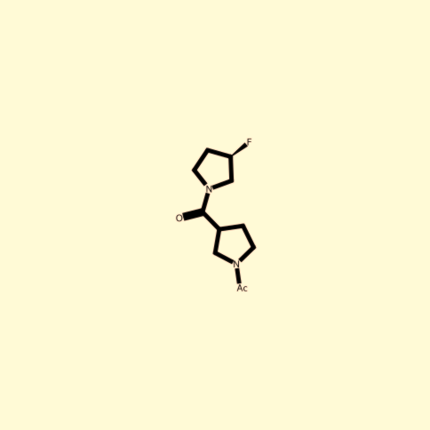 CC(=O)N1CCC(C(=O)N2CC[C@@H](F)C2)C1